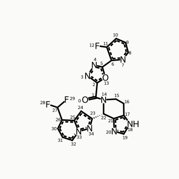 O=C(c1nnc(-c2ncccc2F)o1)N1CCc2[nH]cnc2[C@@H]1c1cc2c(C(F)F)cccn2n1